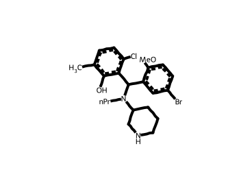 CCCN(C1CCCNC1)C(c1cc(Br)ccc1OC)c1c(Cl)ccc(C)c1O